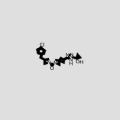 O=C(N1CC(Cc2ccc(Cl)cc2)C1)N1CC2(CC(c3nnc(C4(O)CC4)[nH]3)C2)C1